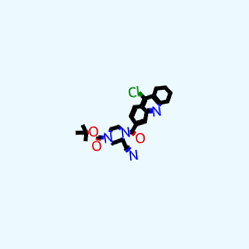 CC(C)(C)OC(=O)N1CCN(C(=O)c2ccc3c(Cl)c4c(nc3c2)CCCC4)C(C#N)C1